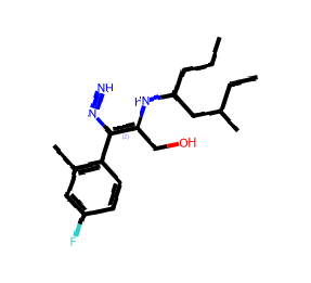 CCCC(CC(C)CC)N/C(CO)=C(\N=N)c1ccc(F)cc1C